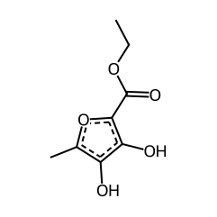 CCOC(=O)c1oc(C)c(O)c1O